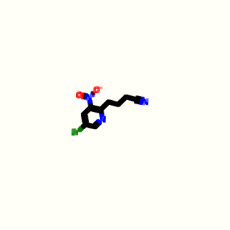 N#CCCCc1ncc(Br)cc1[N+](=O)[O-]